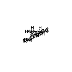 O=C(O)NCCCCC(NC(=O)OCc1ccccc1)C(O)c1noc(Cc2ccc(C(=O)NCc3ccccc3)cc2)n1